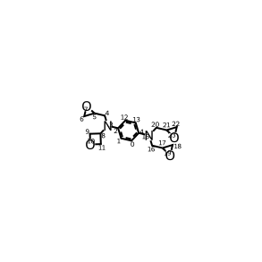 c1cc(N(CC2CO2)C2COC2)ccc1N(CC1CO1)CC1CO1